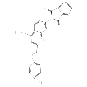 Cc1cc(COc2ccc(C#N)cc2)nc2cc(N3C(=O)c4ccccc4C3=O)ccc12